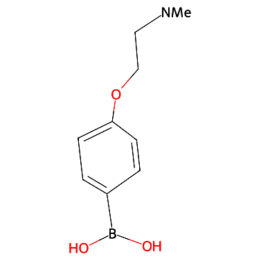 CNCCOc1ccc(B(O)O)cc1